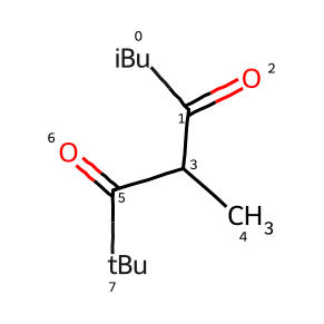 CCC(C)C(=O)C(C)C(=O)C(C)(C)C